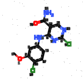 COc1cc(Nc2nc(Cl)ncc2C(N)=O)ccc1Cl